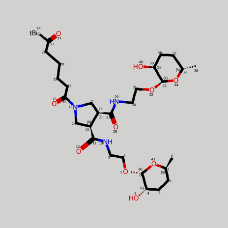 C[C@H]1CC[C@H](O)[C@H](OCCNC(=O)[C@H]2CN(C(=O)CCCCC(=O)C(C)(C)C)C[C@H]2C(=O)NCCO[C@@H]2O[C@@H](C)CC[C@@H]2O)O1